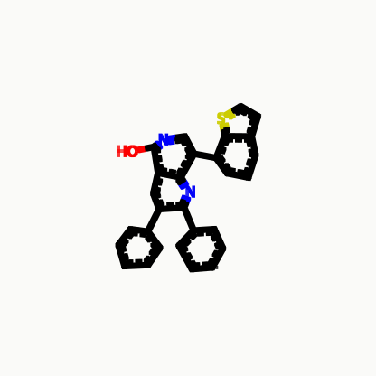 Oc1ncc(-c2cccc3ccsc23)c2nc(-c3cc[c]cc3)c(-c3ccccc3)cc12